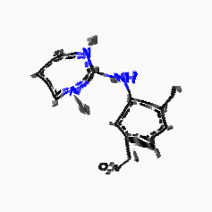 Cc1ccc([N+](=O)[O-])cc1Nc1ncccn1